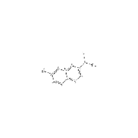 FC(F)c1ccc2ccc(Br)cc2c1